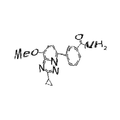 COc1ccc(-c2cccc(C(N)=O)c2)n2nc(C3CC3)nc12